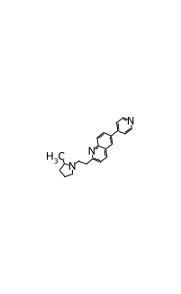 C[C@@H]1CCCN1CCc1ccc2cc(-c3ccncc3)ccc2n1